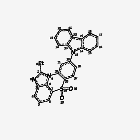 CCc1nc2cccc3c2n1-c1cc(-n2c4ccccc4c4ccccc42)ccc1S3(=O)=O